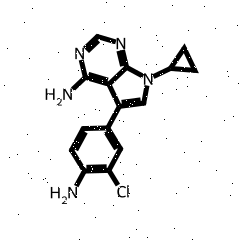 Nc1ccc(-c2cn(C3CC3)c3ncnc(N)c23)cc1Cl